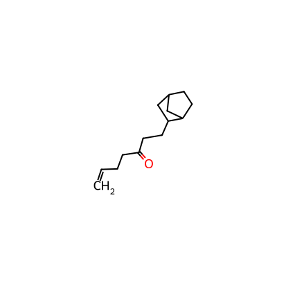 C=CCCC(=O)CCC1CC2CCC1C2